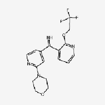 N=C(c1ccnc(N2CCOCC2)c1)c1cccnc1OCC(F)(F)F